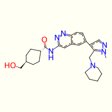 Cn1ncc(-c2ccc3nnc(NC(=O)[C@H]4CC[C@H](CO)CC4)cc3c2)c1CN1CCCCC1